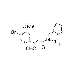 COc1cc(N(C=O)CC(=O)N(C)Cc2ccccc2)ccc1Br